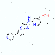 OCc1ccnc(Nc2cn3cc(-c4ccncc4)ccc3n2)c1